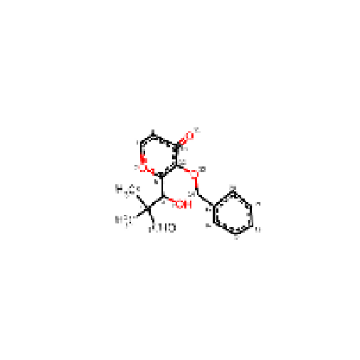 CC(C)(C=O)C(O)c1occc(=O)c1OCc1ccccc1